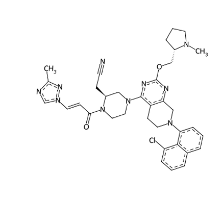 Cc1ncn(/C=C/C(=O)N2CCN(c3nc(OC[C@@H]4CCCN4C)nc4c3CCN(c3cccc5cccc(Cl)c35)C4)C[C@@H]2CC#N)n1